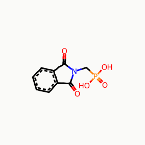 O=C1c2ccccc2C(=O)N1CP(=O)(O)O